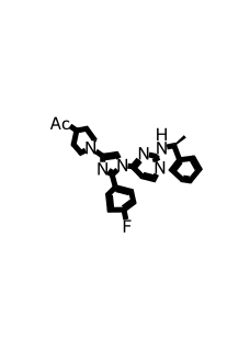 CC(=O)C1CCN(c2cn(-c3ccnc(N[C@@H](C)c4ccccc4)n3)c(-c3ccc(F)cc3)n2)CC1